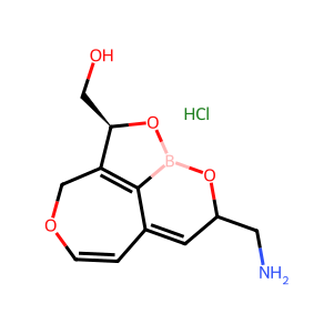 Cl.NCC1C=C2C=COCC3=C2B(O1)O[C@@H]3CO